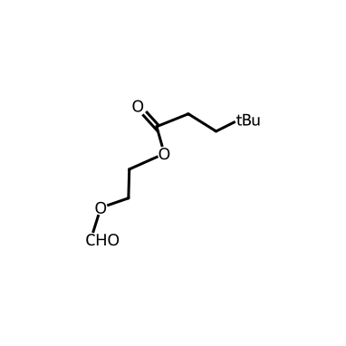 CC(C)(C)CCC(=O)OCCOC=O